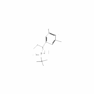 CCC(N[S+]([O-])C(C)(C)C)c1cc(C)cc(C)c1